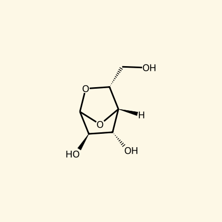 OC[C@H]1OC2O[C@H]1[C@H](O)[C@H]2O